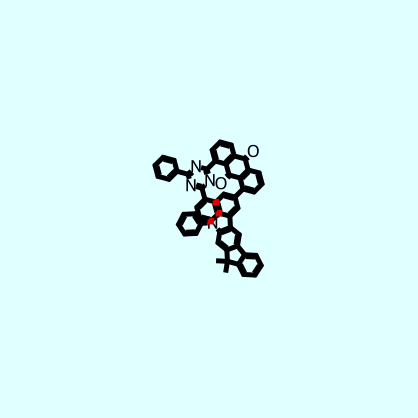 CC1(C)c2ccccc2-c2cc3c4cc(-c5cccc6c5C(=O)c5c(cccc5-c5nc(-c7ccccc7)nc(-c7ccccc7)n5)C6=O)ccc4n(-c4ccccc4)c3cc21